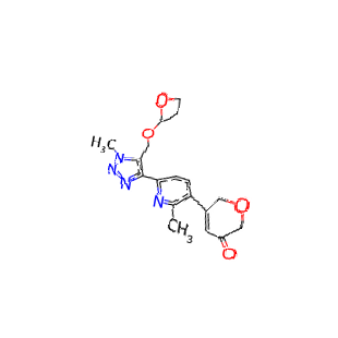 Cc1nc(-c2nnn(C)c2COC2CCO2)ccc1C1=CC(=O)COC1